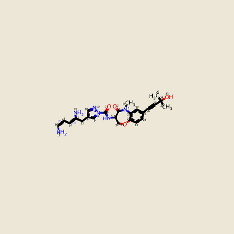 CN1C(=O)C(NC(=O)n2cc(C/C(N)=C/C=C\N)cn2)COc2ccc(C#CC(C)(C)O)cc21